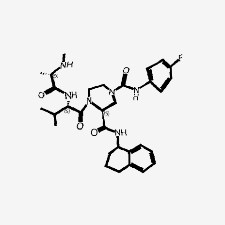 CN[C@@H](C)C(=O)N[C@H](C(=O)N1CCN(C(=O)Nc2ccc(F)cc2)C[C@H]1C(=O)NC1CCCc2ccccc21)C(C)C